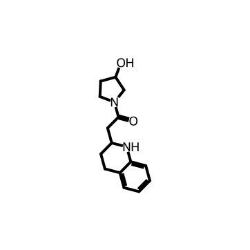 O=C(CC1CCc2ccccc2N1)N1CCC(O)C1